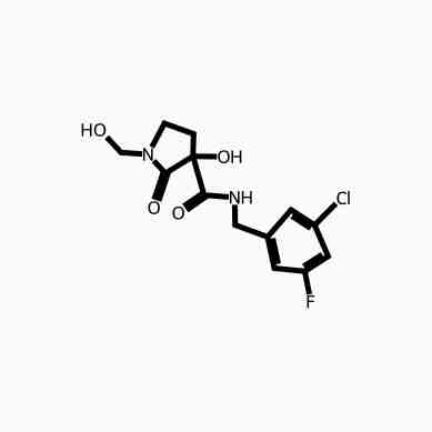 O=C(NCc1cc(F)cc(Cl)c1)C1(O)CCN(CO)C1=O